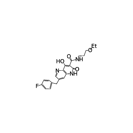 CCOCCCNC(=O)c1c(O)c2ncc(Cc3ccc(F)cc3)cc2[nH]c1=O